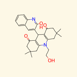 CC1(C)CC(=O)C2=C(C1)N(CCO)C1=C(C(=O)CC(C)(C)C1)C2c1cc2ccccc2nc1O